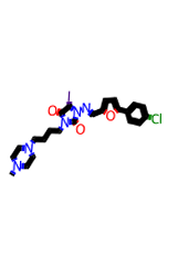 CN1CCN(CCCCN2C(=O)C(I)N(N=Cc3ccc(-c4ccc(Cl)cc4)o3)C2=O)CC1